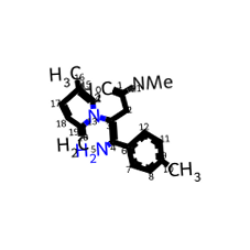 C=C(C/C(=C(/N)c1ccc(C)cc1)N1C=C(C)C=CC1=C)NC